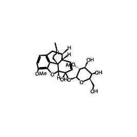 COc1ccc2c3c1O[C@@H]1[C@]34CCN(C)[C@H](C2)[C@@H]4C=C[C@]1(O)O[C@@H]1O[C@H](CO)[C@H](O)[C@H](O)[C@H]1OC(C)=O